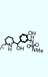 CNS(=O)(=O)Nc1cc(C(O)C2CCCC(C)N2)ccc1O